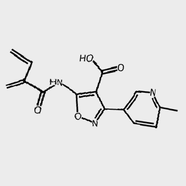 C=CC(=C)C(=O)Nc1onc(-c2ccc(C)nc2)c1C(=O)O